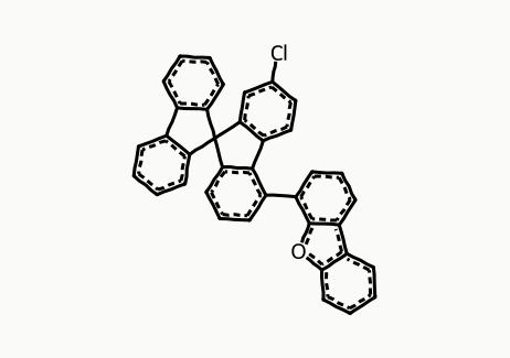 Clc1ccc2c(c1)C1(c3ccccc3-c3ccccc31)c1cccc(-c3cccc4c3oc3ccccc34)c1-2